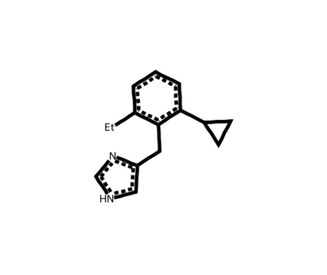 CCc1cccc(C2CC2)c1Cc1c[nH]cn1